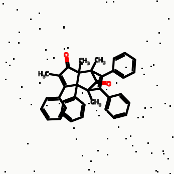 CC1=C(c2ccccc2)C2(c3ccccc3)C3(C)C(=O)C(C)(C(c4ccccc4)=C3c3ccccc3)C2(C)C1=O